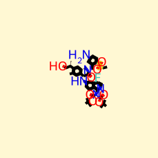 CCS(=O)(=O)c1ccc(N)cc1CN(C)C(=O)C(Nc1ccc2c(N(C(=O)OC(C)(C)C)C(=O)OC(C)(C)C)ncc(F)c2c1)c1ccc([C@@H](C)CO)c(C)c1